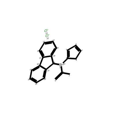 C=[C](C)[Zr+2]([C]1=CC=CC1)[CH]1c2ccccc2-c2ccccc21.[Cl-].[Cl-]